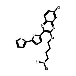 CCN(CC)CCCCNc1nc2cc(Cl)ccc2nc1-c1ccc(-c2cccs2)s1